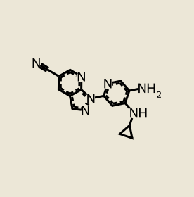 N#Cc1cnc2c(cnn2-c2cc(NC3CC3)c(N)cn2)c1